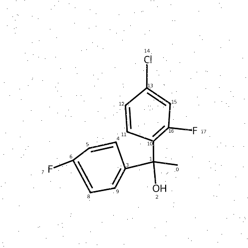 CC(O)(c1ccc(F)cc1)c1ccc(Cl)cc1F